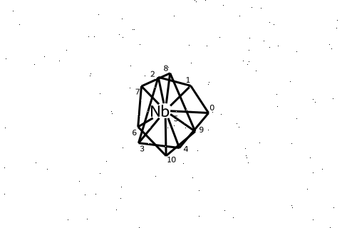 [CH]12[CH]3[CH]4[CH]5[CH]1[Nb]23451678[CH]2[CH]1[CH]6[CH]7[CH]28